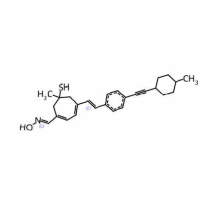 CC1CCC(C#Cc2ccc(/C=C/C3=CC=C(/C=N/O)CC(C)(S)C3)cc2)CC1